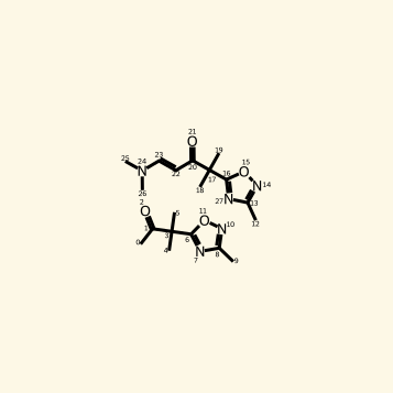 CC(=O)C(C)(C)c1nc(C)no1.Cc1noc(C(C)(C)C(=O)C=CN(C)C)n1